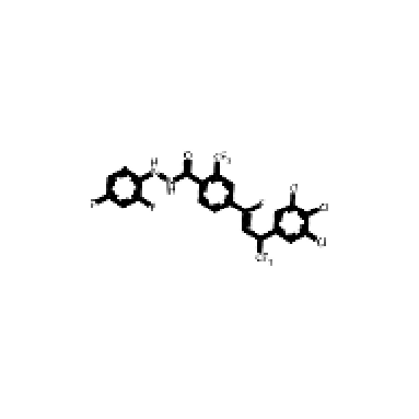 O=C(NNc1ccc(F)cc1F)c1ccc(C(F)=CC(c2cc(Cl)c(Cl)c(Cl)c2)C(F)(F)F)cc1C(F)(F)F